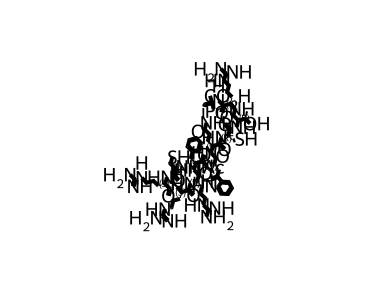 CC(=O)N[C@@H](CS)C(=O)N[C@@H](CCCNC(=N)N)C(=O)N[C@@H](CCCNC(=N)N)C(=O)N[C@@H](CCCNC(=N)N)C(=O)N[C@@H](Cc1ccccc1)C(=O)N[C@@H](Cc1c[nH]c2ccccc12)C(=O)N[C@@H](CCC(N)=O)C(=O)N[C@@H](CS)C(=O)NC(C(=O)N[C@@H](CCCNC(=N)N)C(=O)NC(C)(CC(C)C)C(=O)O)[C@@H](C)O